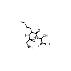 CSCC[C@H](NC(=O)CN)C(=O)NC(O)C(=O)O